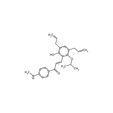 C=CCc1cc(CC=C)c(OC(C)C)c(/C=C/C(=O)c2ccc(NC)cc2)c1O